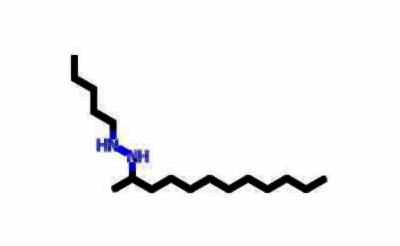 CCCCCCCCCCC(C)NNCCCCC